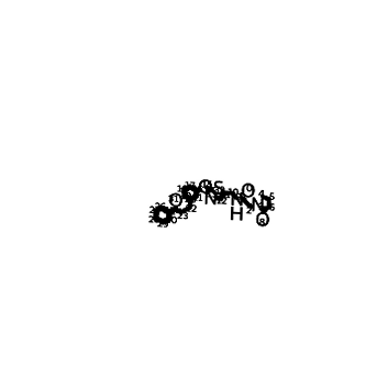 O=C(CN1CCCC1=O)NCc1cnc(Oc2ccc3c(c2)CCC(c2ccccc2)O3)s1